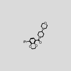 CC(C)c1ccc(C(=O)N2CCC(N3CCOCC3)CC2)c2c1OCCO2